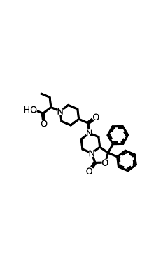 CCC(C(=O)O)N1CCC(C(=O)N2CCN3C(=O)OC(c4ccccc4)(c4ccccc4)C3C2)CC1